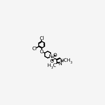 Cc1nn(C)cc1S(=O)(=O)N1CCC(Oc2ccc(Cl)cc2Cl)CC1